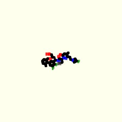 Cc1cc(=O)n([C@@H](CC(C)C)C(=O)N[C@@H](CC(O)CO)c2cc(-c3c(C)cccc3C)cc(F)c2F)nc1CCN1CC(F)C1